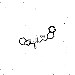 O=C(NC[C@H](O)CN1CCc2ccccc2C1)c1cn2c(n1)CCCC2